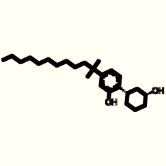 CCCCCCCCCCC(C)(C)c1ccc([C@H]2CCC[C@@H](O)C2)c(O)c1